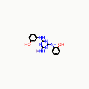 Oc1cccc(Nc2nc(NI)nc(Nc3ccccc3O)n2)c1